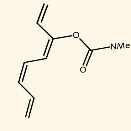 C=C/C=C\C=C(/C=C)OC(=O)NC